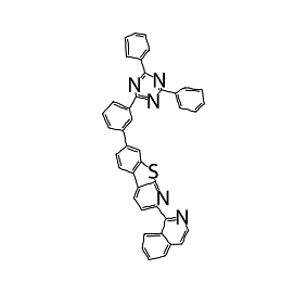 c1ccc(-c2nc(-c3ccccc3)nc(-c3cccc(-c4ccc5c(c4)sc4nc(-c6nccc7ccccc67)ccc45)c3)n2)cc1